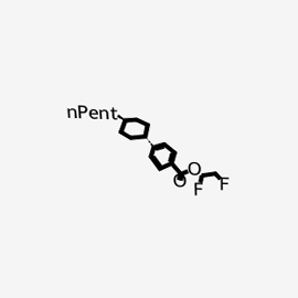 CCCCC[C@H]1CC[C@H](c2ccc(C(=O)OC(F)CF)cc2)CC1